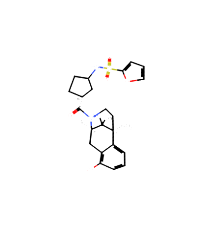 CC1(C)[C@H]2Cc3c(O)cccc3[C@]1(C)CCN2C(=O)[C@@H]1CCC(NS(=O)(=O)c2ccco2)C1